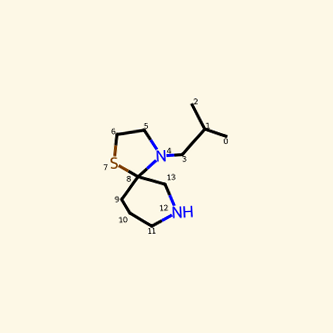 CC(C)CN1CCSC12CCCNC2